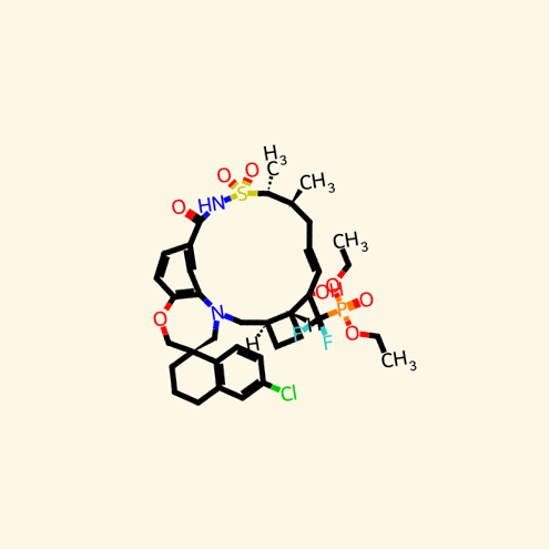 CCOP(=O)(OCC)C(F)(F)[C@@]1(O)/C=C/C[C@H](C)[C@@H](C)S(=O)(=O)NC(=O)c2ccc3c(c2)N(C[C@@H]2CC[C@H]21)C[C@@]1(CCCc2cc(Cl)ccc21)CO3